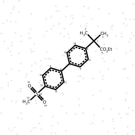 CCOC(=O)C(C)(C)c1ccc(-c2ccc(S(C)(=O)=O)cc2)cc1